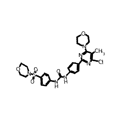 Cc1c(Cl)nc(-c2ccc(NC(=O)Nc3ccc(S(=O)(=O)N4CCOCC4)cc3)cc2)nc1N1CCOCC1